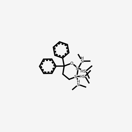 C[SiH](C)[Si]1([SiH](C)C)CCC(c2ccccc2)(c2ccccc2)O[Si]1([SiH](C)C)[SiH](C)C